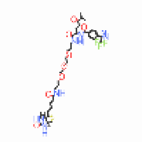 CC(C)C(=O)CCC(NC(=O)c1ccc(C2(C(F)(F)F)N=N2)cc1)C(=O)NCCCOCCOCCOCCCNC(=O)CCCCC1SC[C@@H]2NC(=O)N[C@H]12